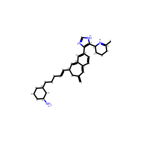 C=C1C=c2ccc(-c3nc[nH]c3C3CCCC(C)=N3)cc2=CC(/C=C/CCCC2CCC[C@H](N)C2)C1